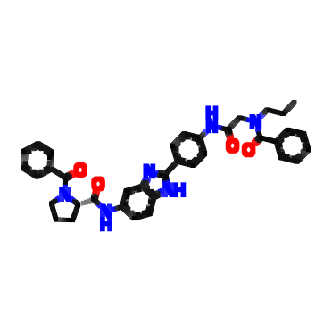 CCCN(CC(=O)Nc1ccc(-c2nc3cc(NC(=O)[C@@H]4CCCN4C(=O)c4ccccc4)ccc3[nH]2)cc1)C(=O)c1ccccc1